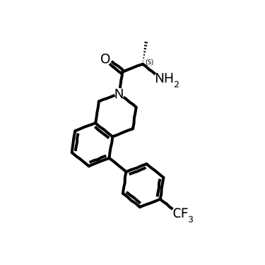 C[C@H](N)C(=O)N1CCc2c(cccc2-c2ccc(C(F)(F)F)cc2)C1